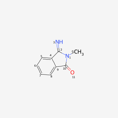 CN1C(=N)c2ccccc2C1=O